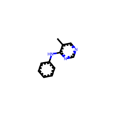 Cc1cncnc1Nc1ccccc1